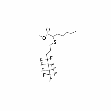 CCCCCC(SCCCC(F)(F)C(F)(F)C(F)(F)C(F)(F)F)C(=O)OC